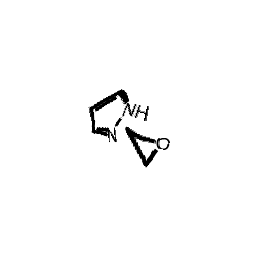 C1CO1.c1cn[nH]c1